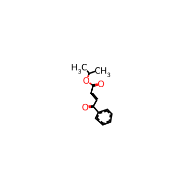 CC(C)OC(=O)/C=C/C(=O)c1ccccc1